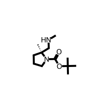 CNC[C@]1(C)CCCN1C(=O)OC(C)(C)C